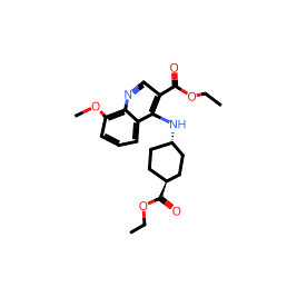 CCOC(=O)c1cnc2c(OC)cccc2c1N[C@H]1CC[C@H](C(=O)OCC)CC1